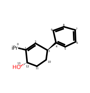 CC(C)C1=C[C@@H](c2ccccc2)CC[C@@H]1O